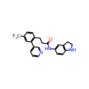 O=C(CCc1ccc(C(F)(F)F)cc1-c1cccnc1)Nc1ccc2c(c1)CCN2